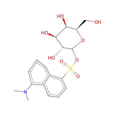 CN(C)c1cccc2c(S(=O)(=O)OC3O[C@H](CO)[C@H](O)[C@H](O)[C@H]3O)cccc12